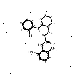 Cc1cccc(C)c1NC(=O)CSC1CCCCC1Sc1ccccc1Cl